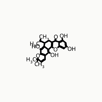 C=C(C)C1Cc2c(oc3cc(O)cc(O)c3c2=O)-c2c(O)c3c(c(O)c21)OC(C)(C)C=C3